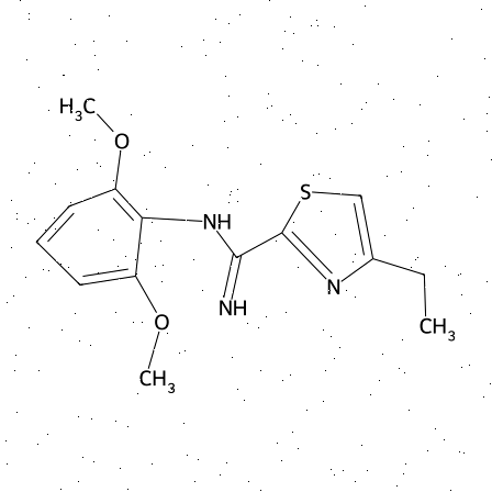 CCc1csc(C(=N)Nc2c(OC)cccc2OC)n1